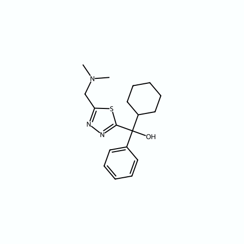 CN(C)Cc1nnc(C(O)(c2ccccc2)C2CCCCC2)s1